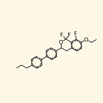 CCCc1ccc(-c2ccc(C3Cc4ccc(OCC)c(F)c4C(F)(F)O3)cc2)cc1